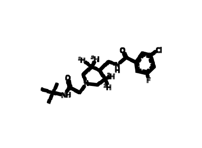 [2H]C1([2H])CN(CC(=O)NC(C)(C)C)CC([2H])([2H])C1CNC(=O)c1cc(F)cc(Cl)c1